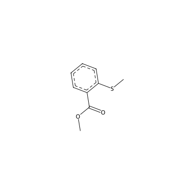 COC(=O)c1ccccc1SC